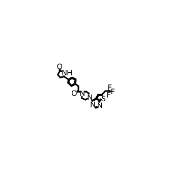 O=C1CCC(c2ccc(CC(=O)N3CCN(c4ncnc5sc(CC(F)(F)F)cc45)CC3)cc2)N1